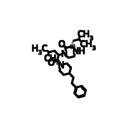 CC(C)CC(C(=O)N1CCC(CCc2ccccc2)CC1)N1CCN[C@@H](CC(C)C)C1=O